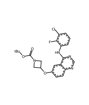 CC(C)(C)OC(=O)N1CC(Oc2ccc3ncnc(Nc4cccc(Cl)c4F)c3c2)C1